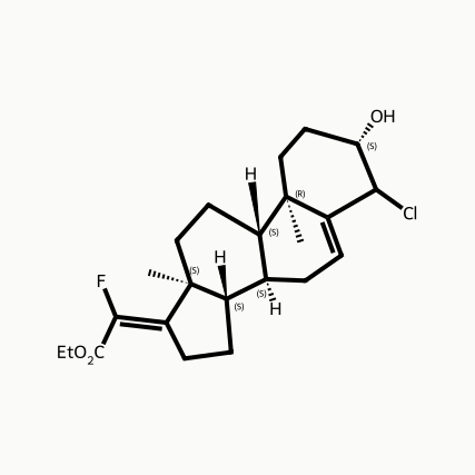 CCOC(=O)C(F)=C1CC[C@H]2[C@@H]3CC=C4C(Cl)[C@@H](O)CC[C@]4(C)[C@H]3CC[C@]12C